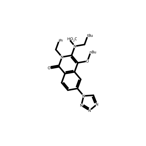 CCCCOc1c(N(CC(C)(C)C)C(=O)O)n(CC(C)C)c(=O)c2ccc(-n3cnnn3)cc12